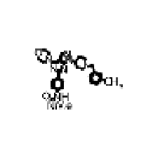 CNC(=O)Nc1ccc(-c2nc(N3CCOCC3)c3cnn(C4CCN(Cc5cccc(C)c5)CC4)c3n2)cc1